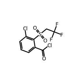 O=C(Cl)c1cccc(Cl)c1S(=O)(=O)CC(F)(F)F